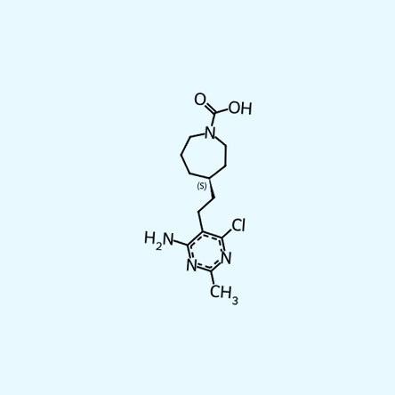 Cc1nc(N)c(CC[C@H]2CCCN(C(=O)O)CC2)c(Cl)n1